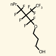 CCCC(F)(F)C(F)(C(F)(F)OCC[CH]O)C(F)(F)C(F)(F)F